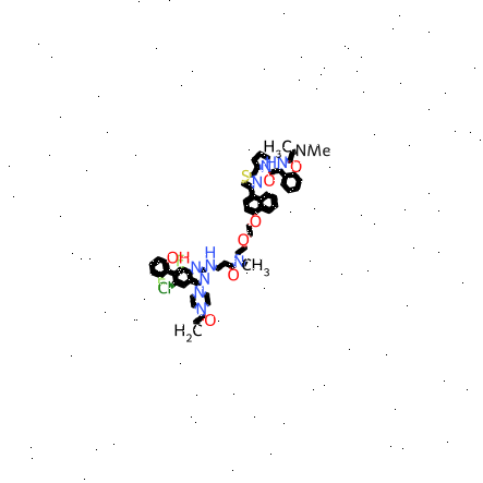 C=CC(=O)N1CCN(c2nc(NCCC(=O)N(C)CCOCCOc3ccc(-c4csc(C5CCCN5C(=O)C(NC(=O)C(C)NC)C5CCCCC5)n4)c4ccccc34)nc3c(F)c(-c4c(O)cccc4F)c(Cl)cc23)CC1